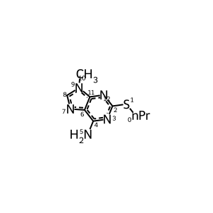 CCCSc1nc(N)c2ncn(C)c2n1